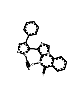 Cn1c(=O)c2ccccc2n2cnc(-c3c(-c4ccccc4)nnn3C#N)c12